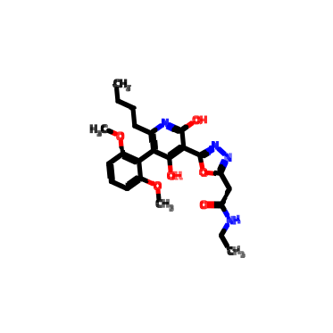 CCCCc1nc(O)c(-c2nnc(CC(=O)NCC)o2)c(O)c1-c1c(OC)cccc1OC